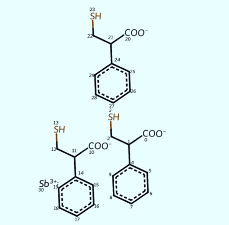 O=C([O-])C(CS)c1ccccc1.O=C([O-])C(CS)c1ccccc1.O=C([O-])C(CS)c1ccccc1.[Sb+3]